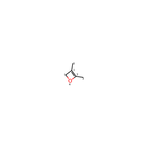 CC1=C(C)OC1